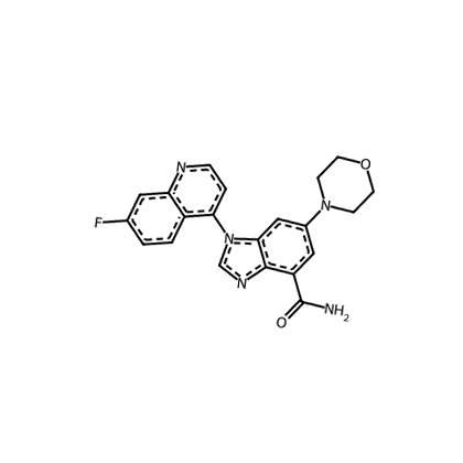 NC(=O)c1cc(N2CCOCC2)cc2c1ncn2-c1ccnc2cc(F)ccc12